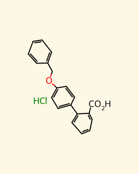 Cl.O=C(O)c1ccccc1-c1ccc(OCc2ccccc2)cc1